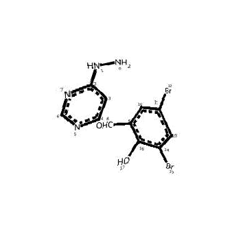 NNc1ccncn1.O=Cc1cc(Br)cc(Br)c1O